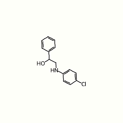 OC(CNc1ccc(Cl)cc1)c1ccccc1